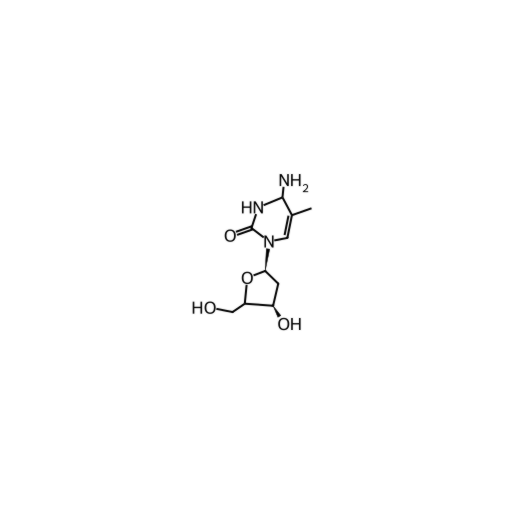 CC1=CN([C@H]2C[C@@H](O)C(CO)O2)C(=O)NC1N